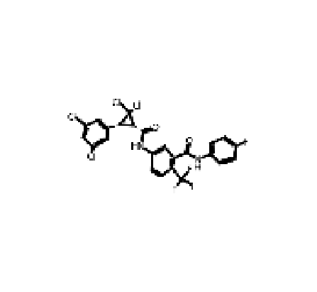 O=C(Nc1ccc(F)cc1)c1cc(NC(=O)[C@@H]2[C@@H](c3cc(Cl)cc(Cl)c3)C2(Cl)Cl)ccc1C(F)(F)F